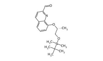 C[C@H](CO[Si](C)(C)C(C)(C)C)Oc1cccc2ccc(C=O)nc12